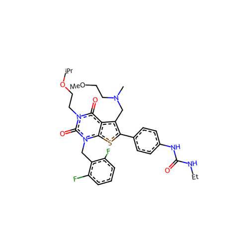 CCNC(=O)Nc1ccc(-c2sc3c(c2CN(C)CCOC)c(=O)n(CCOC(C)C)c(=O)n3Cc2c(F)cccc2F)cc1